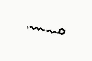 BrCCCCCCOCCCCSc1ccccc1